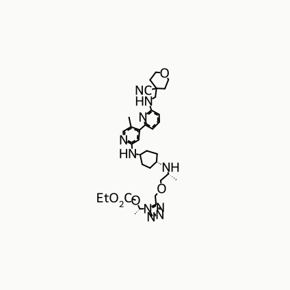 CCOC(=O)O[C@@H](C)n1nnnc1COC[C@@H](C)N[C@H]1CC[C@H](Nc2cc(-c3cccc(NCC4(C#N)CCOCC4)n3)c(C)cn2)CC1